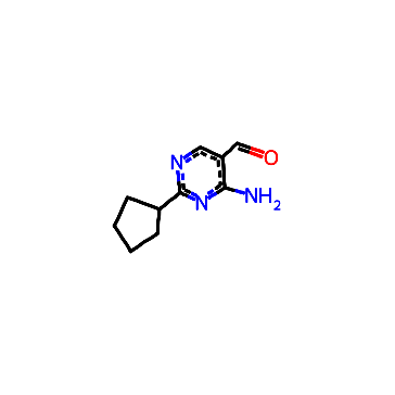 Nc1nc(C2CCCC2)ncc1C=O